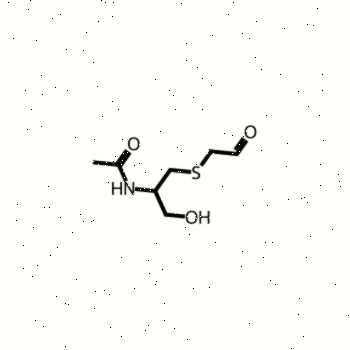 CC(=O)NC(CO)CSCC=O